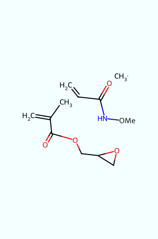 C=C(C)C(=O)OCC1CO1.C=CC(=O)NOC.[CH3]